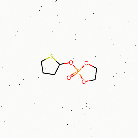 O=P1(OC2CCCS2)OCCO1